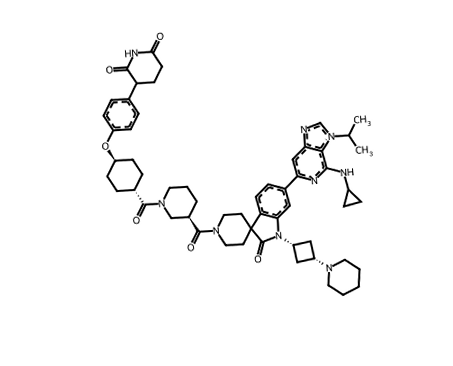 CC(C)n1cnc2cc(-c3ccc4c(c3)N([C@H]3C[C@@H](N5CCCCC5)C3)C(=O)C43CCN(C(=O)[C@@H]4CCCN(C(=O)[C@H]5CC[C@H](Oc6ccc(C7CCC(=O)NC7=O)cc6)CC5)C4)CC3)nc(NC3CC3)c21